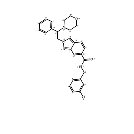 O=C(NCc1cccc(Cl)c1)c1ccc2cn(CC(c3ccccc3)N3CCOCC3)nc2c1